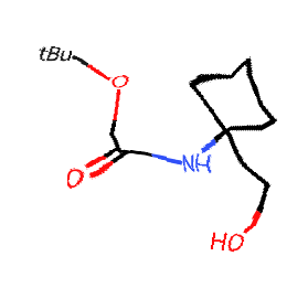 CC(C)(C)OC(=O)NC1(CO)CCC1